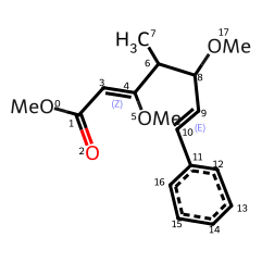 COC(=O)/C=C(\OC)C(C)C(/C=C/c1ccccc1)OC